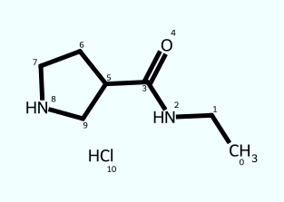 CCNC(=O)C1CCNC1.Cl